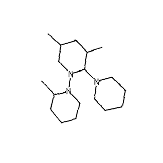 CC1CC(C)C(N2CCCCC2)N(N2CCCCC2C)C1